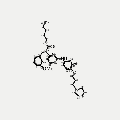 COc1cccc(CN(C(=O)OCCCCC(C)C)c2ccnc(Nc3ccc(OCCCN4CCCCC4)c(F)c3)n2)c1